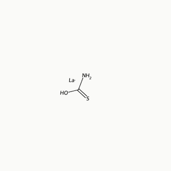 NC(O)=S.[La]